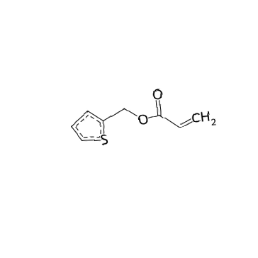 C=CC(=O)OCc1cccs1